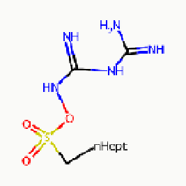 CCCCCCCCS(=O)(=O)ONC(=N)NC(=N)N